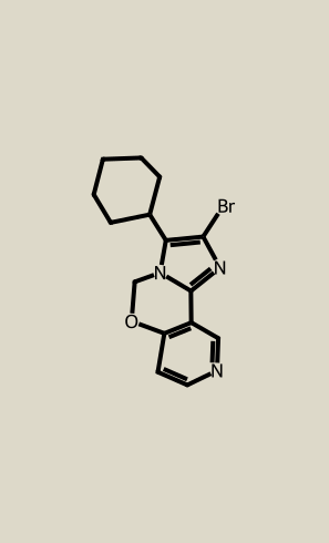 Brc1nc2n(c1C1CCCCC1)COc1ccncc1-2